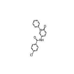 O=C(Nc1ccc(=O)n(-c2ccccc2)c1)c1ccc(Cl)cc1